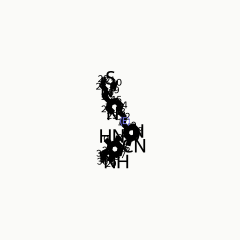 Cc1c(Nc2c(C#N)cncc2/C=C/c2ccc(CN3CCSCC3)cn2)ccc2[nH]ccc12